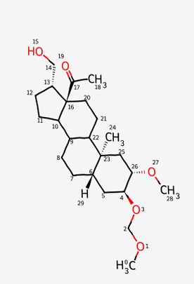 COCO[C@H]1C[C@@H]2CCC3C4CC[C@H](CO)[C@]4(C(C)=O)CCC3[C@@]2(C)C[C@@H]1OC